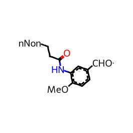 CCCCCCCCCCCC(=O)Nc1cc([C]=O)ccc1OC